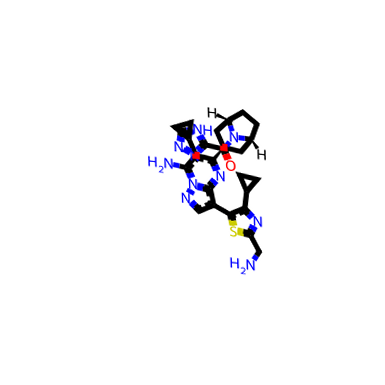 NCc1nc(C2CC2)c(-c2cnn3c(N)c(C4CC4)c([C@@H]4C[C@H]5CC[C@@H](C4)N5C(=O)c4nnc[nH]4)nc23)s1